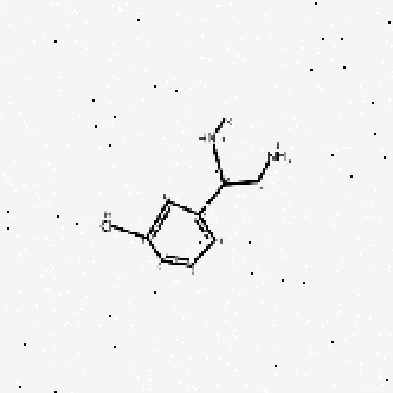 CNC(CN)c1cccc(Cl)c1